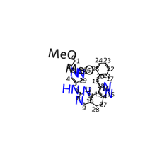 COCCn1cc(Nc2ncc3c(n2)-c2c(nn(C)c2Cc2ccccc2OC)CC3)cn1